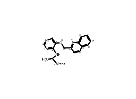 CCCCCC(C)Nc1ncncc1OCc1ccc2ccccc2n1